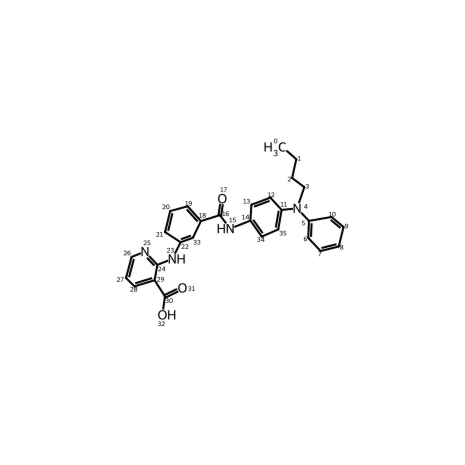 CCCCN(c1ccccc1)c1ccc(NC(=O)c2cccc(Nc3ncccc3C(=O)O)c2)cc1